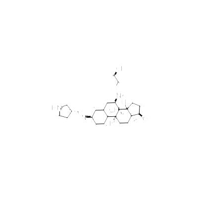 C=CCO/N=C1\CC2CC(=NO[C@@H]3CCNC3)CC[C@]2(C)[C@H]2CC[C@]3(C)C(=O)CC[C@H]3[C@H]12